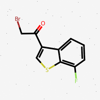 O=C(CBr)c1csc2c(F)cccc12